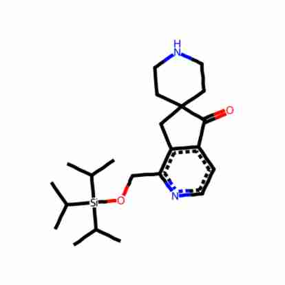 CC(C)[Si](OCc1nccc2c1CC1(CCNCC1)C2=O)(C(C)C)C(C)C